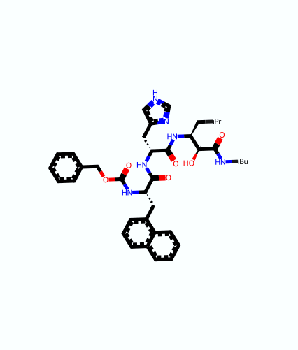 CCC(C)NC(=O)[C@@H](O)[C@H](CC(C)C)NC(=O)[C@@H](Cc1c[nH]cn1)NC(=O)[C@H](Cc1cccc2ccccc12)NC(=O)OCc1ccccc1